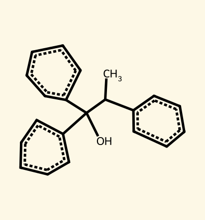 CC(c1ccccc1)C(O)(c1ccccc1)c1ccccc1